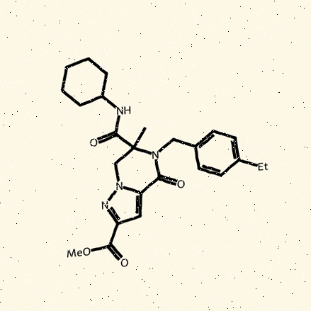 CCc1ccc(CN2C(=O)c3cc(C(=O)OC)nn3CC2(C)C(=O)NC2CCCCC2)cc1